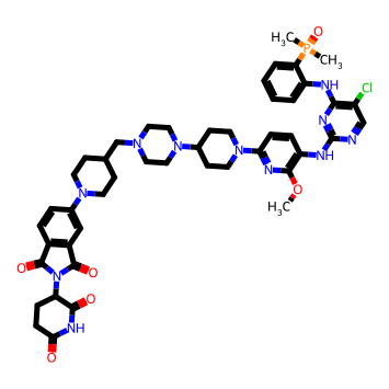 COc1nc(N2CCC(N3CCN(CC4CCN(c5ccc6c(c5)C(=O)N(C5CCC(=O)NC5=O)C6=O)CC4)CC3)CC2)ccc1Nc1ncc(Cl)c(Nc2ccccc2P(C)(C)=O)n1